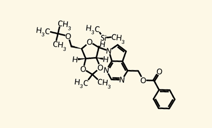 C[SiH](C)[C@]1(n2ccc3c(COC(=O)c4ccccc4)ncnc32)O[C@H](COC(C)(C)C)[C@H]2OC(C)(C)O[C@H]21